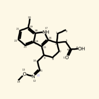 CCC1(CC(=O)O)CCC(C/C=N\OC)c2c1[nH]c1c(C)cccc21